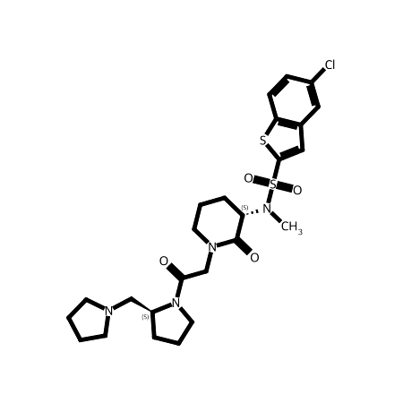 CN([C@H]1CCCN(CC(=O)N2CCC[C@H]2CN2CCCC2)C1=O)S(=O)(=O)c1cc2cc(Cl)ccc2s1